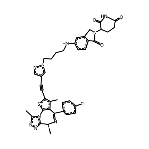 Cc1c(C#Cc2cnn(CCCCNc3ccc4c(c3)CN(C3CCC(=O)NC3=O)C4=O)c2)sc2c1C(c1ccc(Cl)cc1)=N[C@@H](C)c1nnc(C)n1-2